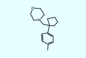 Cc1ccc(C2(CN3CCOCC3)CCCC2)cc1